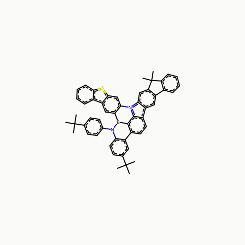 CC(C)(C)c1ccc(N2B3c4cc5c(cc4-n4c6cc7c(cc6c6ccc(c3c64)-c3cc(C(C)(C)C)ccc32)-c2ccccc2C7(C)C)sc2ccccc25)cc1